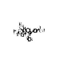 CC(C)c1nc2c(nc1C(C)C)-c1c(c(-c3ccc(C(=O)O)cc3)cn1Cc1cccnc1)CC2